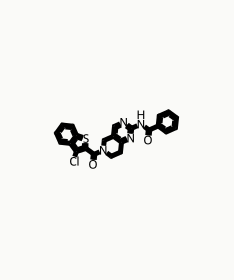 O=C(Nc1ncc2c(n1)CCN(C(=O)c1sc3ccccc3c1Cl)C2)c1ccccc1